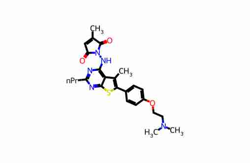 CCCc1nc(NN2C(=O)C=C(C)C2=O)c2c(C)c(-c3ccc(OCCN(C)C)cc3)sc2n1